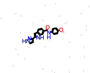 COc1ccc(NC(=O)c2ccc3cc(-c4cc[nH]n4)[nH]c3c2)cc1